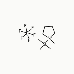 C[N+]1([Si](C)(C)C)CCCC1.F[P-](F)(F)(F)(F)F